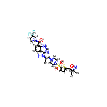 Cc1noc(-c2ccc(S(=O)(=O)N3CCN(CC(C)Nc4ncnc5c(C(=O)N6CCC(F)(F)C6)cccc45)CC3)s2)c1C